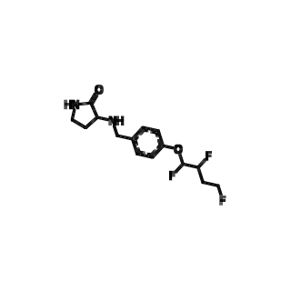 O=C1NCCC1NCc1ccc(OC(F)C(F)CCF)cc1